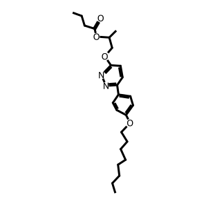 CCCCCCCCOc1ccc(-c2ccc(OCC(C)OC(=O)CCC)nn2)cc1